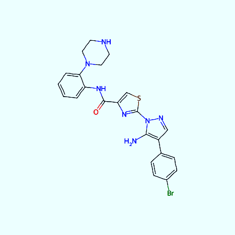 Nc1c(-c2ccc(Br)cc2)cnn1-c1nc(C(=O)Nc2ccccc2N2CCNCC2)cs1